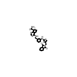 NC(=O)c1cccc2c(NCc3cccc(Nc4ncc(CN5C(=O)c6ccccc6C5=O)s4)c3)ncnc12